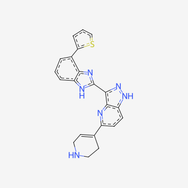 C1=C(c2ccc3[nH]nc(-c4nc5c(-c6cccs6)cccc5[nH]4)c3n2)CCNC1